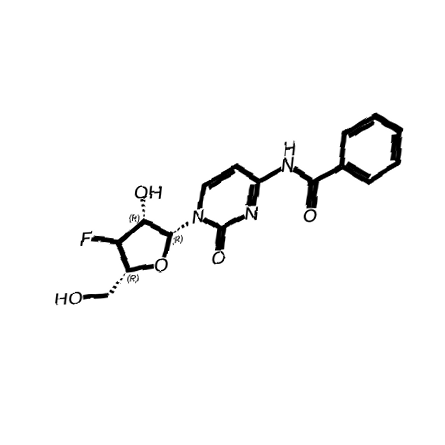 O=C(Nc1ccn([C@@H]2O[C@H](CO)C(F)[C@@H]2O)c(=O)n1)c1ccccc1